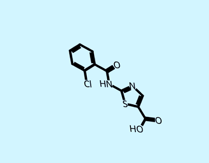 O=C(O)c1cnc(NC(=O)c2ccccc2Cl)s1